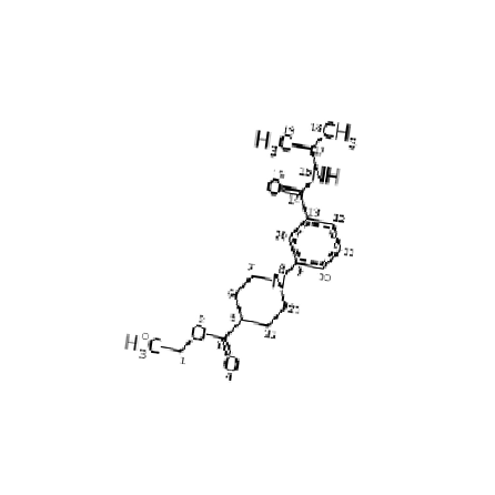 CCOC(=O)C1CCN(c2cccc(C(=O)NC(C)C)c2)CC1